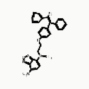 CC/C(=C(\c1ccccc1)c1ccc(OCCN(C)c2ccc([N+](=O)[O-])c3nonc23)cc1)c1ccccc1